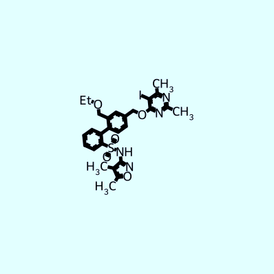 CCOCc1cc(COc2nc(C)nc(C)c2I)ccc1-c1ccccc1S(=O)(=O)Nc1noc(C)c1C